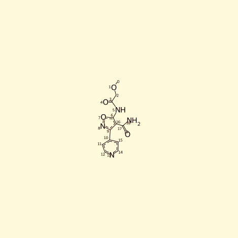 COCC(=O)Nc1onc(-c2ccncc2)c1C(N)=O